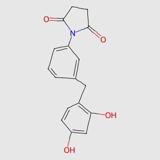 O=C1CCC(=O)N1c1cccc(Cc2ccc(O)cc2O)c1